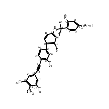 CCCCCc1ccc(C(F)(F)Oc2ccc(-c3ccc(C#Cc4cc(F)c(C(F)(F)F)c(F)c4)c(F)c3)c(F)c2)c(F)c1